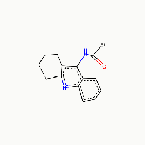 CCC(=O)Nc1c2c(nc3ccccc13)CCCC2